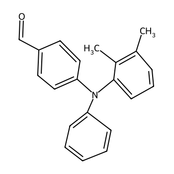 Cc1cccc(N(c2ccccc2)c2ccc(C=O)cc2)c1C